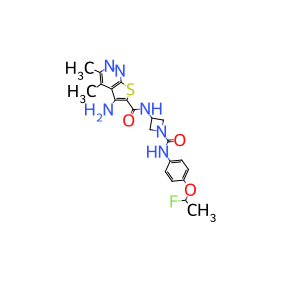 Cc1nnc2sc(C(=O)NC3CN(C(=O)Nc4ccc(OC(C)F)cc4)C3)c(N)c2c1C